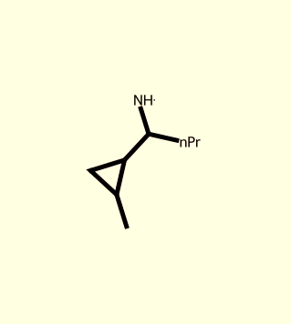 CCCC([NH])C1CC1C